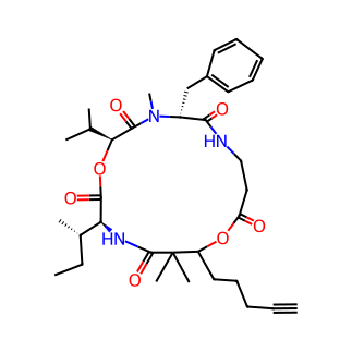 C#CCCCC1OC(=O)CCNC(=O)[C@@H](Cc2ccccc2)N(C)C(=O)[C@H](C(C)C)OC(=O)[C@H]([C@@H](C)CC)NC(=O)C1(C)C